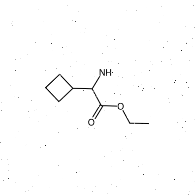 CCOC(=O)C([NH])C1CCC1